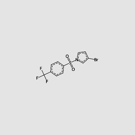 O=S(=O)(c1ccc(C(F)(F)F)cc1)n1ccc(Br)c1